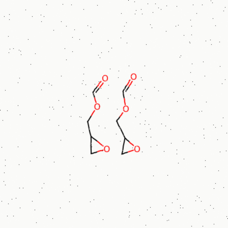 O=COCC1CO1.O=COCC1CO1